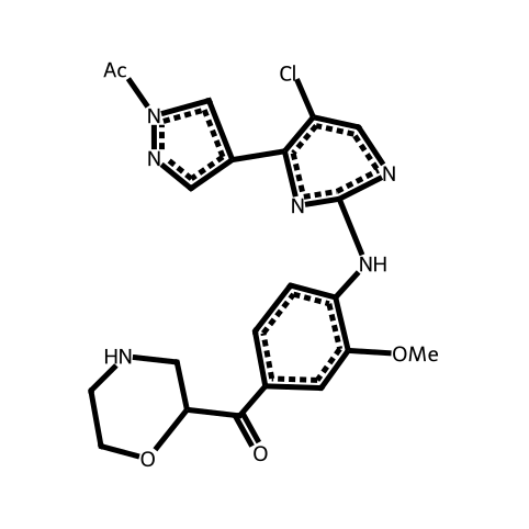 COc1cc(C(=O)C2CNCCO2)ccc1Nc1ncc(Cl)c(-c2cnn(C(C)=O)c2)n1